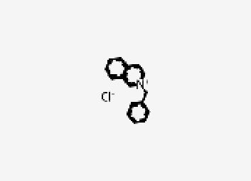 [Cl-].c1ccc(C[n+]2ccc3ccccc3c2)cc1